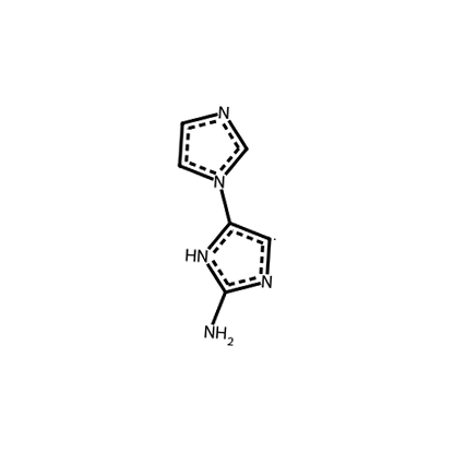 Nc1n[c]c(-n2ccnc2)[nH]1